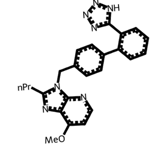 CCCc1nc2c(OC)ccnc2n1Cc1ccc(-c2ccccc2-c2nnn[nH]2)cc1